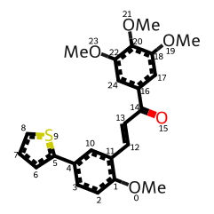 COc1ccc(-c2cccs2)cc1C=CC(=O)c1cc(OC)c(OC)c(OC)c1